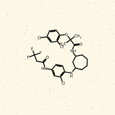 CC(C)(Oc1ccc(Cl)cc1Cl)C(=O)NC1CCCCC(Nc2ccc(NC(=O)CC(F)(F)F)cc2Cl)C1